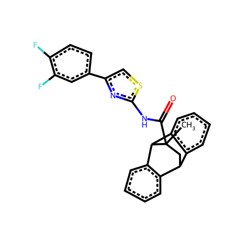 CC1(C(=O)Nc2nc(-c3ccc(F)c(F)c3)cs2)CC2c3ccccc3C1c1ccccc12